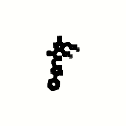 CCc1[nH]nc(C(=O)NCc2nnc(-c3ccccc3)s2)c1C